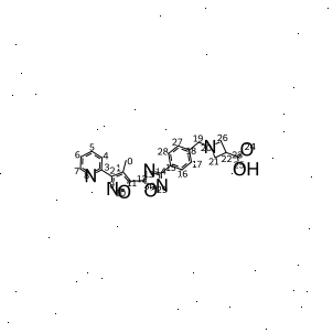 Cc1c(-c2ccccn2)noc1-c1nc(-c2ccc(CN3CC(C(=O)O)C3)cc2)no1